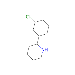 ClC1CCCC(C2CCCCN2)C1